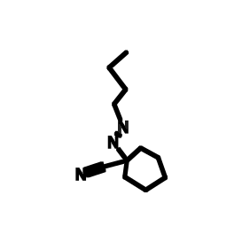 CCCCN=NC1(C#N)CCCCC1